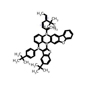 C=C(/C=C\C(=C/C)C(C)(C)C)N1c2cc3c(cc2B2c4sc5ccc(C(C)(C)C)cc5c4N(c4ccc(C(C)(C)C)cc4)c4cccc1c42)oc1ccccc13